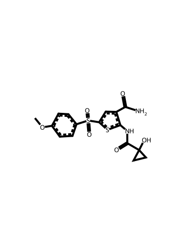 COc1ccc(S(=O)(=O)c2cc(C(N)=O)c(NC(=O)C3(O)CC3)s2)cc1